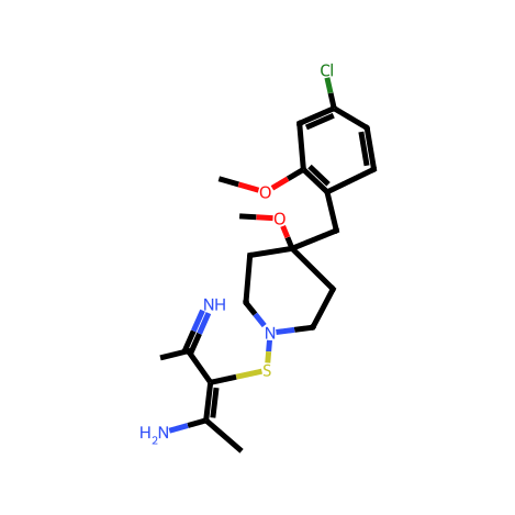 COc1cc(Cl)ccc1CC1(OC)CCN(S/C(C(C)=N)=C(\C)N)CC1